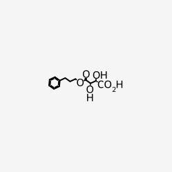 O=C(O)[C@H](O)[C@@H](O)C(=O)OCCCc1ccccc1